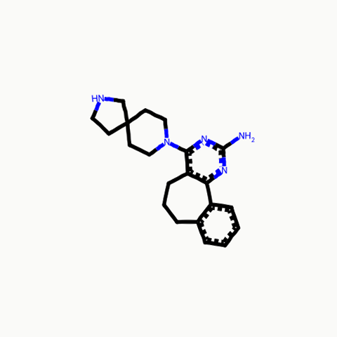 Nc1nc2c(c(N3CCC4(CCNC4)CC3)n1)CCCc1ccccc1-2